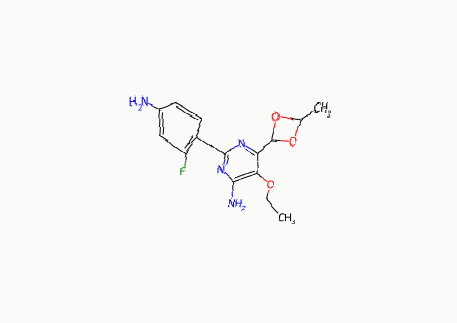 CCOc1c(N)nc(-c2ccc(N)cc2F)nc1C1OC(C)O1